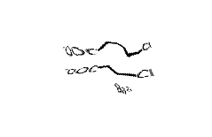 O=C([O-])CCCl.O=C([O-])CCCl.[Ba+2]